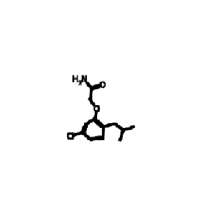 C[C](C)Cc1ccc(Cl)cc1OCC(N)=O